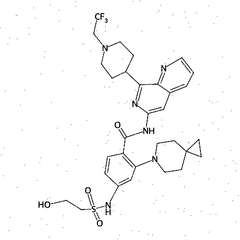 O=C(Nc1cc2cccnc2c(C2CCN(CC(F)(F)F)CC2)n1)c1ccc(NS(=O)(=O)CCO)cc1N1CCC2(CC1)CC2